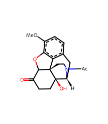 COc1ccc2c3c1OC1C(=O)CC[C@@]4(O)[C@@H](C2)N(C(C)=O)CC[C@]314